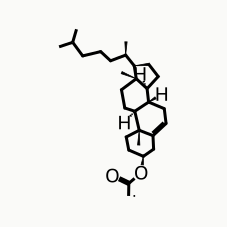 [CH2]C(=O)O[C@H]1CC[C@@]2(C)C(=CC[C@H]3[C@@H]4CC[C@H]([C@H](C)CCCC(C)C)[C@@]4(C)CC[C@@H]32)C1